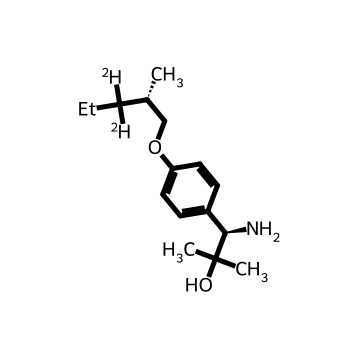 [2H]C([2H])(CC)[C@H](C)COc1ccc([C@@H](N)C(C)(C)O)cc1